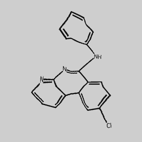 Clc1ccc2c(Nc3ccccc3)nc3ncccc3c2c1